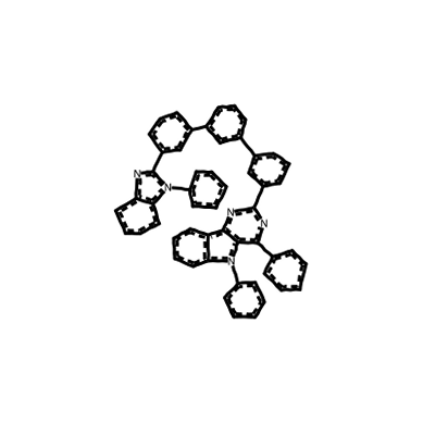 c1ccc(-c2nc(-c3cccc(-c4cccc(-c5cccc(-c6nc7ccccc7n6-c6ccccc6)c5)c4)c3)nc3c4ccccc4n(-c4ccccc4)c23)cc1